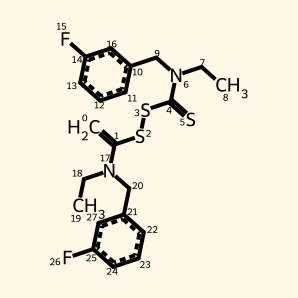 C=C(SSC(=S)N(CC)Cc1cccc(F)c1)N(CC)Cc1cccc(F)c1